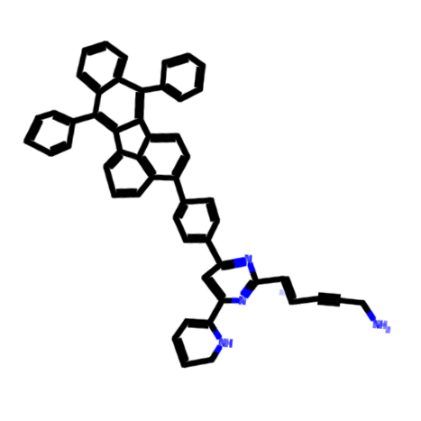 NCC#C/C=C/c1nc(C2=CC=CCN2)cc(-c2ccc(-c3ccc4c5c(cccc35)-c3c-4c(-c4ccccc4)c4ccccc4c3-c3ccccc3)cc2)n1